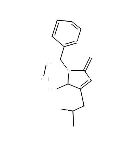 CC(C)CC1=CC(=O)N([C@H](CO)c2ccccc2)C1O